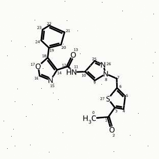 CC(=O)c1ccc(Cn2cc(NC(=O)c3ncoc3-c3ccccc3)cn2)s1